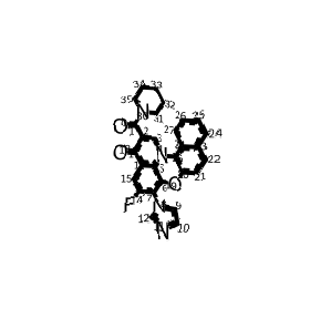 O=C(c1cn2c3c(c(-n4ccnc4)c(F)cc3c1=O)Oc1ccc3ccccc3c1-2)N1CCCCC1